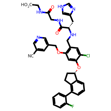 N#Cc1cncc(COc2cc(O[C@H]3CCc4c(-c5ccccc5F)cccc43)c(Cl)cc2CN[C@@H](Cc2c[nH]cn2)C(=O)NCC(=O)NCC(=O)O)c1